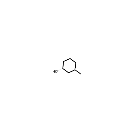 O[C@@H]1CCCN(I)C1